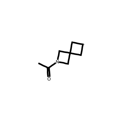 CC(=O)N1CC2(C[CH]C2)C1